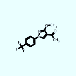 COc1nn(-c2ccc(C(F)(F)F)cc2)cc1C(C)=O